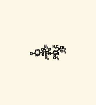 Cn1nc(C(C)(C)C)cc1NC(=O)C(C)(C)S(=O)(=O)c1ccc(Cl)nc1